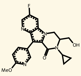 COc1ccc(-c2c3n(c4cc(F)cnc24)CC(CO)N(C2CC2)C3=O)cn1